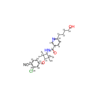 CC1(C)C(NC(=O)c2ccc(CCCCO)nc2)C(C)(C)C1Oc1ccc(C#N)c(Cl)c1